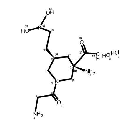 Cl.Cl.NCC(=O)N1C[C@@H](CCB(O)O)C[C@](N)(C(=O)O)C1